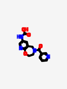 O=C(O)Nc1cnc2c(c1)CN(C(=O)c1cccnc1)CCO2